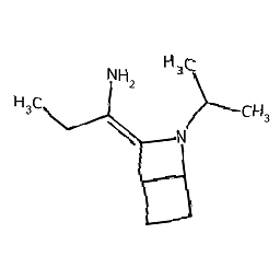 CC/C(N)=C1\C2CCC2N1C(C)C